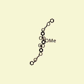 COc1cc(OC(=O)c2ccc(OCCCCOCC3CC=CCC3)cc2)ccc1OC(=O)c1ccc(OCCCCOCC2CC=CCC2)cc1